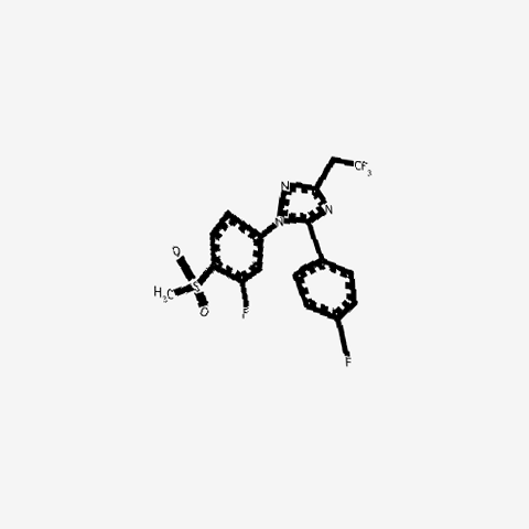 CS(=O)(=O)c1ccc(-n2nc(CC(F)(F)F)nc2-c2ccc(F)cc2)cc1F